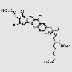 CCCCCCCCCCCCSCC(COP(=O)(O)Oc1ccc2nc3c(c(CC)c2c1)Cn1c-3cc(CC)c(COC(=O)O)c1=O)OCCCCCCCCCC